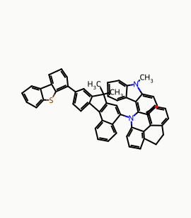 Cn1c2ccccc2c2c(N(c3cccc4c3-c3ccccc3CC4)c3cc4c(c5ccccc35)-c3ccc(-c5cccc6c5sc5ccccc56)cc3C4(C)C)cccc21